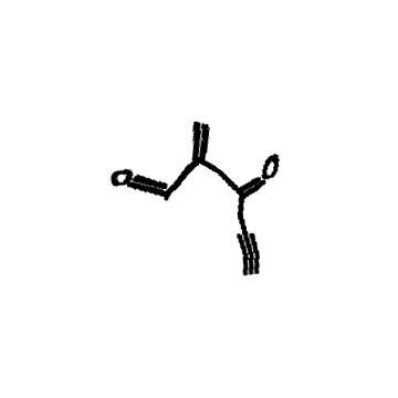 C#CC(=O)C(=C)[C]=O